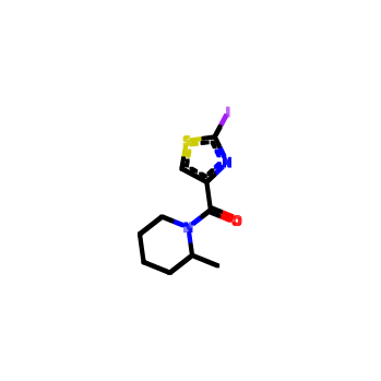 CC1CCCCN1C(=O)c1csc(I)n1